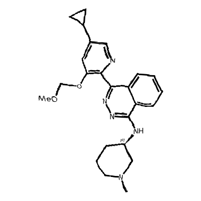 COCOc1cc(C2CC2)cnc1-c1nnc(N[C@@H]2CCCN(C)C2)c2ccccc12